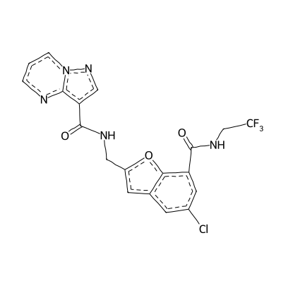 O=C(NCC(F)(F)F)c1cc(Cl)cc2cc(CNC(=O)c3cnn4cccnc34)oc12